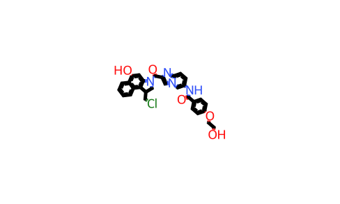 O=C(Nc1ccc2nc(C(=O)N3CC(CCl)c4c3cc(O)c3ccccc43)cn2c1)c1ccc(OCCO)cc1